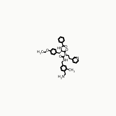 CCOc1ccc(C[C@@H](NC(=O)c2ccccc2)C(=O)N(CCc2cccnc2)C(=O)NCc2ccc(CN)c(C)c2)cc1